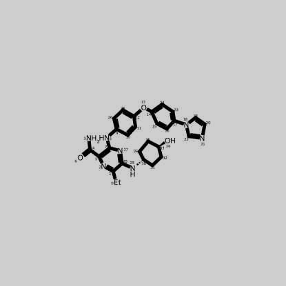 CCc1nc(C(N)=O)c(Nc2ccc(Oc3ccc(-n4ccnc4)cc3)cc2)nc1N[C@H]1CC[C@H](O)CC1